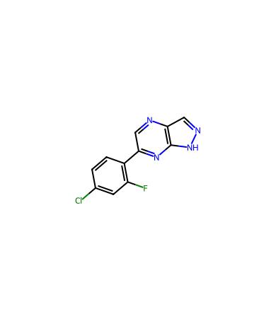 Fc1cc(Cl)ccc1-c1cnc2cn[nH]c2n1